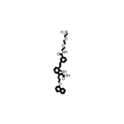 NCCOCCOCCNC(=O)c1cccc(C=Cc2cccc3c(CCCOc4cccc5ccccc45)c(C(=O)O)[nH]c23)c1